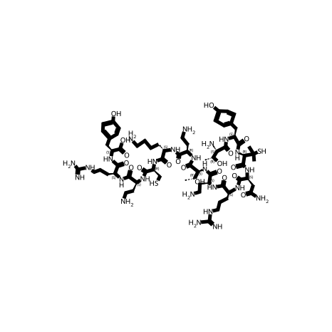 C[C@@H](O)[C@H](N)C(=O)N[C@@H](Cc1ccc(O)cc1)C(=O)N[C@H](C(=O)N[C@@H](CC(N)=O)C(=O)N[C@@H](CCCNC(=N)N)C(=O)N[C@@H](CCN)C(=O)N[C@H](C(=O)N[C@H](CCN)C(=O)N[C@@H](CCCCN)C(=O)N[C@@H](CS)C(=O)N[C@@H](CCN)C(=O)N[C@@H](CCCNC(=N)N)C(=O)N[C@@H](Cc1ccc(O)cc1)C(=O)O)[C@@H](C)O)C(C)(C)S